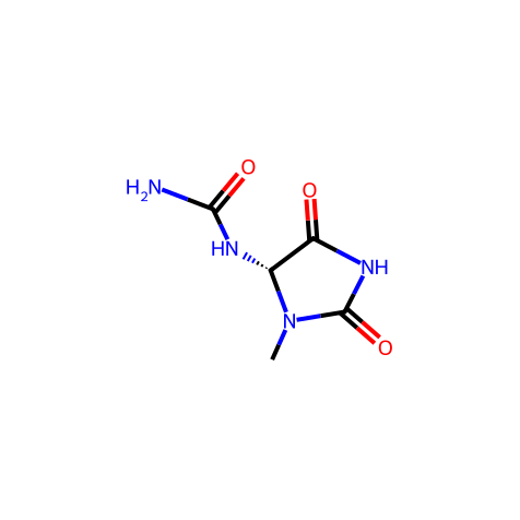 CN1C(=O)NC(=O)[C@H]1NC(N)=O